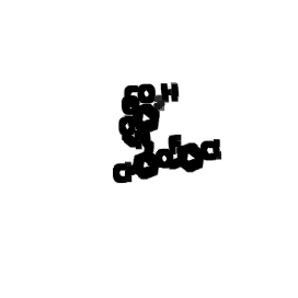 O=C(O)Oc1cccc2c1OCCN2Cc1cc(Cl)ccc1OCc1ccc(Cl)cc1F